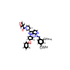 COc1ccc(CNc2nccc3c([C@@H]4CCCN(C(=O)C5(C)COC5)C4)nn(-c4ccc(Oc5ccccc5)cc4)c23)c(OC)c1